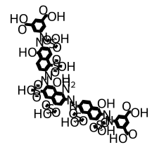 Nc1c(N=Nc2ccc3c(O)c(N=Nc4cc(C(=O)O)cc(C(=O)O)c4)c(S(=O)(=O)O)cc3c2S(=O)(=O)O)cc(S(=O)(=O)O)c2cc(S(=O)(=O)O)c(N=Nc3ccc4c(O)c(N=Nc5cc(C(=O)O)cc(C(=O)O)c5)c(S(=O)(=O)O)cc4c3S(=O)(=O)O)c(O)c12